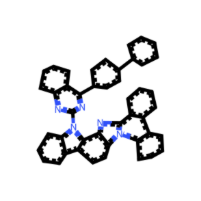 c1ccc(-c2ccc(-c3nc(-n4c5ccccc5c5ccc6c(nc7c8ccccc8c8ccccc8n67)c54)nc4ccccc34)cc2)cc1